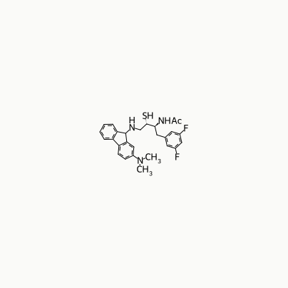 CC(=O)N[C@@H](Cc1cc(F)cc(F)c1)[C@@H](S)CNC1c2ccccc2-c2ccc(N(C)C)cc21